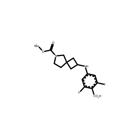 CC(C)(C)OC(=O)N1CCC2(CC(Nc3cc(F)c(C(=O)O)c(F)c3)C2)C1